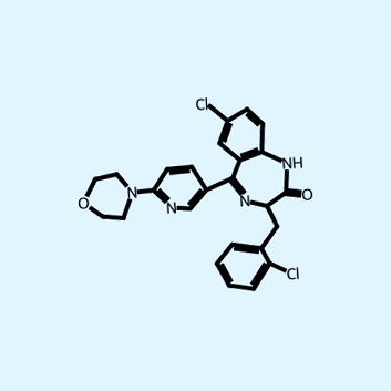 O=C1Nc2ccc(Cl)cc2C(c2ccc(N3CCOCC3)nc2)=NC1Cc1ccccc1Cl